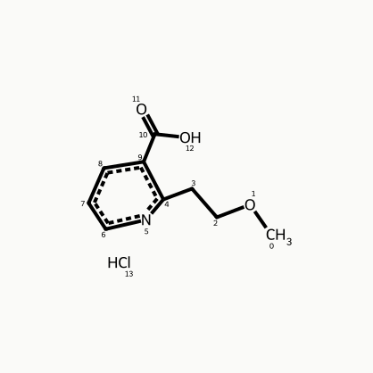 COCCc1ncccc1C(=O)O.Cl